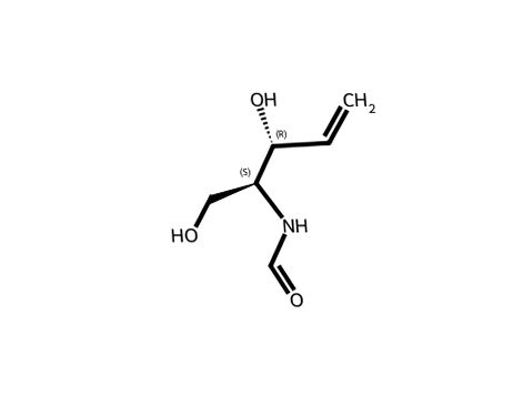 C=C[C@@H](O)[C@H](CO)NC=O